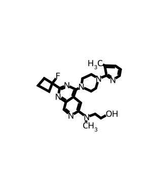 Cc1cccnc1N1CCN(c2nc(C3(F)CCC3)nc3cnc(N(C)CCO)cc23)CC1